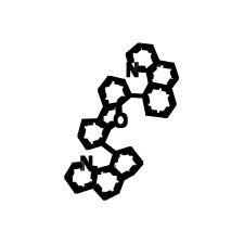 c1cnc2c(c1)ccc1cccc(-c3cccc4c3oc3c(-c5cccc6ccc7cccnc7c56)cccc34)c12